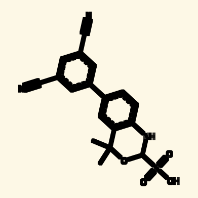 CC1(C)OC(S(=O)(=O)O)Nc2ccc(-c3cc(C#N)cc(C#N)c3)cc21